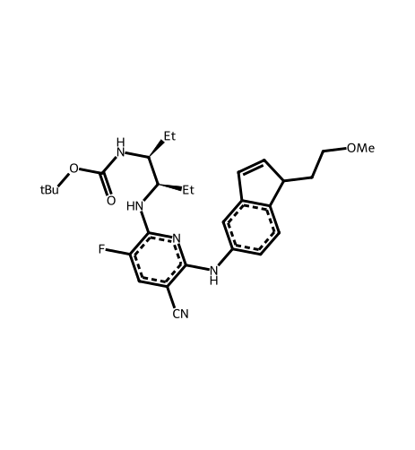 CC[C@H](NC(=O)OC(C)(C)C)[C@@H](CC)Nc1nc(Nc2ccc3c(c2)C=CC3CCOC)c(C#N)cc1F